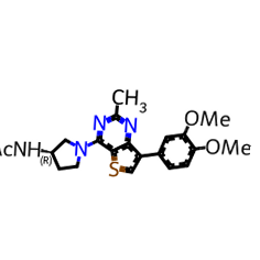 COc1ccc(-c2csc3c(N4CC[C@@H](NC(C)=O)C4)nc(C)nc23)cc1OC